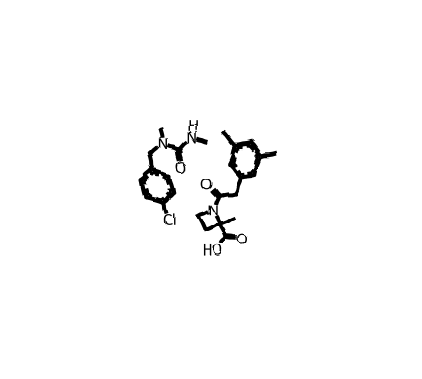 CNC(=O)N(C)Cc1ccc(Cl)cc1.Cc1cc(C)cc(CC(=O)N2CCC2(C)C(=O)O)c1